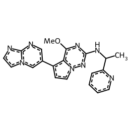 COc1nc(NC(C)c2ccccn2)nn2ccc(-c3cnc4nccn4c3)c12